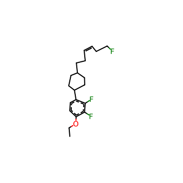 CCOc1ccc(C2CCC(CC/C=C\CCF)CC2)c(F)c1F